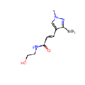 Cn1cc(/C=C/C(=O)NCCO)c([N+](=O)[O-])n1